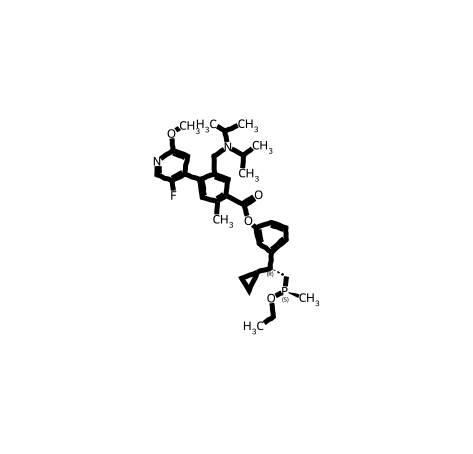 CCO[P@](C)C[C@@H](c1cccc(OC(=O)c2cc(CN(C(C)C)C(C)C)c(-c3cc(OC)ncc3F)cc2C)c1)C1CC1